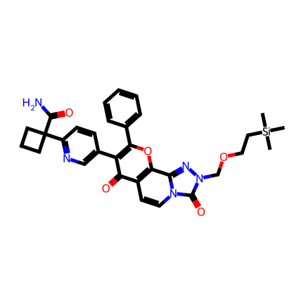 C[Si](C)(C)CCOCn1nc2c3oc(-c4ccccc4)c(-c4ccc(C5(C(N)=O)CCC5)nc4)c(=O)c3ccn2c1=O